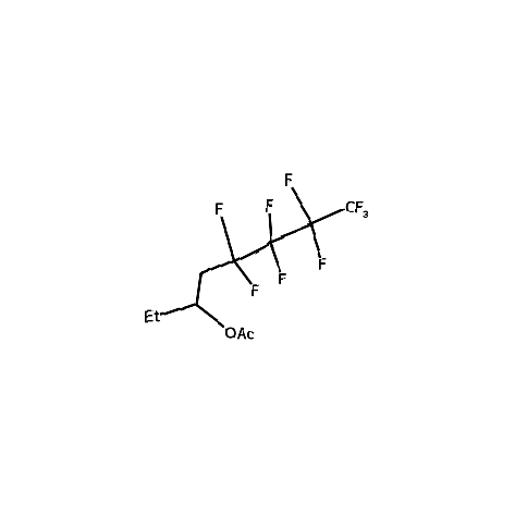 CCC(CC(F)(F)C(F)(F)C(F)(F)C(F)(F)F)OC(C)=O